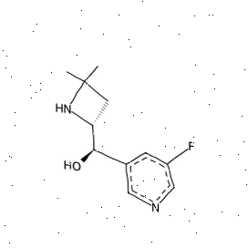 CC1(C)C[C@H]([C@H](O)c2cncc(F)c2)N1